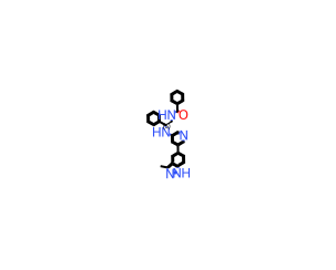 Cc1n[nH]c2ccc(-c3cncc(N[C@H](CNC(=O)c4ccccc4)c4ccccc4)c3)cc12